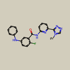 CC(C)n1cnnc1-c1cccc(NC(=O)c2cc(Nc3ccccc3)ccc2F)n1